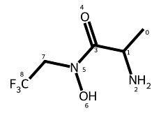 CC(N)C(=O)N(O)CC(F)(F)F